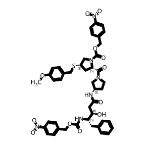 COc1ccc(CS[C@H]2C[C@@H](C(=O)N3CC[C@H](NC(=O)C[C@@H](O)[C@H](Cc4ccccc4)NC(=O)OCc4ccc([N+](=O)[O-])cc4)C3)N(C(=O)OCc3ccc([N+](=O)[O-])cc3)C2)cc1